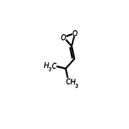 CC(C)C=C1OO1